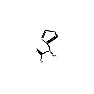 NN(C(=O)O)c1cscn1